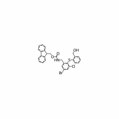 O=C(NCc1cc(Br)cc(Cl)c1Sc1ccccc1CO)OCC1c2ccccc2-c2ccccc21